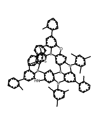 Cc1cc(C)c(N2c3cc4c(cc3B3c5cc6c(cc5N(c5c(C)cc(C)cc5C)c5cc(-c7ccccc7C)cc2c53)Oc2cc(-c3ccccc3C)cc3c2B6c2sc5ccccc5c2O3)B2c3sc5ccccc5c3Oc3cc(-c5ccccc5C)cc(c32)N4)c(C)c1